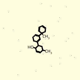 CC1C=CC(O)C(C2=CC(C3(C)C=CC=CC3)=CCC2)C1